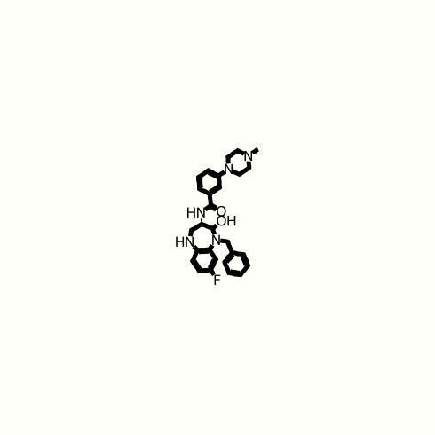 CN1CCN(c2cccc(C(=O)N[C@H]3CNc4ccc(F)cc4N(Cc4ccccc4)C3O)c2)CC1